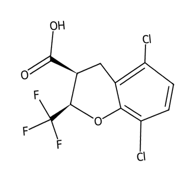 O=C(O)[C@H]1Cc2c(Cl)ccc(Cl)c2O[C@H]1C(F)(F)F